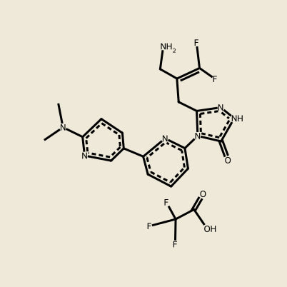 CN(C)c1ccc(-c2cccc(-n3c(CC(CN)=C(F)F)n[nH]c3=O)n2)cn1.O=C(O)C(F)(F)F